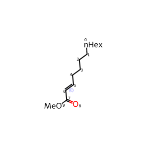 CCCCCCCCCC/C=C/C(=O)OC